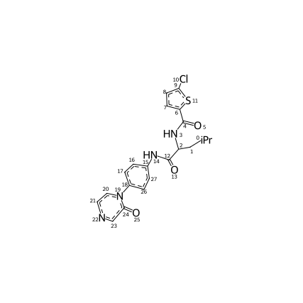 CC(C)CC(NC(=O)c1ccc(Cl)s1)C(=O)Nc1ccc(-n2ccncc2=O)cc1